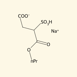 CCCOC(=O)C(CC(=O)[O-])S(=O)(=O)O.[Na+]